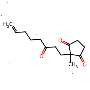 C=CCCCC(=O)CCC1(C)C(=O)CCC1=O